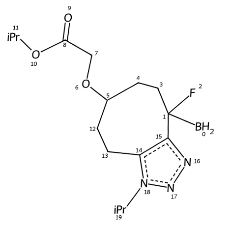 BC1(F)CCC(OCC(=O)OC(C)C)CCc2c1nnn2C(C)C